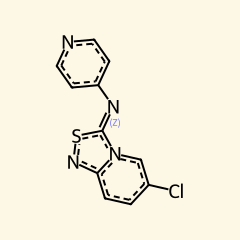 Clc1ccc2ns/c(=N\c3ccncc3)n2c1